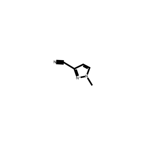 CN1C=CC(C#N)=[N+]1